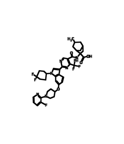 CC1CC2CC(C1)C(NC(=O)c1cnc(-c3cn(C4CCC(F)(F)CC4)c4cc(OC5CCN(c6ncccc6F)CC5)ccc34)nc1C(F)(F)F)(C(=O)O)C2